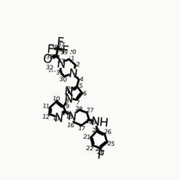 C[C@@H]1CN(Cc2ccn(-c3cccnc3N3CCC(Nc4ccc(F)cc4)CC3)n2)C[C@H](C)N1C(=O)C(F)(F)F